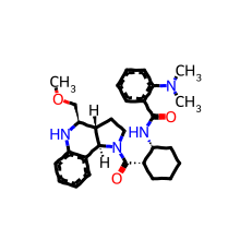 COC[C@@H]1Nc2ccccc2[C@H]2[C@H]1CCN2C(=O)[C@H]1CCCC[C@H]1NC(=O)c1ccccc1N(C)C